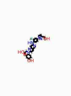 O=C(O)CN(c1ccc2cnc(Nc3ccc(-n4ccc(CO)n4)cc3F)cc2n1)C1CCC(O)CC1